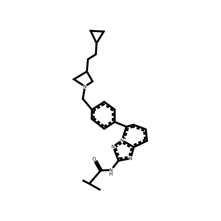 CC(C)C(=O)Nc1nc2cccc(-c3ccc(CN4CC(CCC5CC5)C4)cc3)n2n1